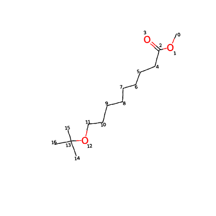 COC(=O)CCCCCCCCOC(C)(C)C